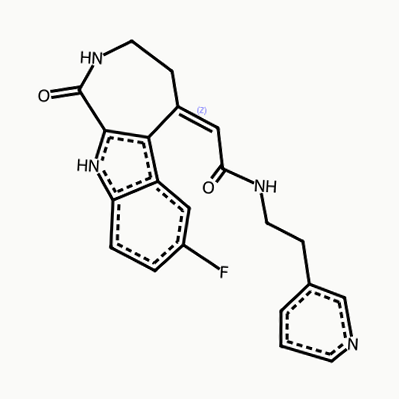 O=C(/C=C1/CCNC(=O)c2[nH]c3ccc(F)cc3c21)NCCc1cccnc1